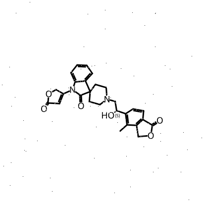 Cc1c([C@H](O)CN2CCC3(CC2)C(=O)N(C2=CC(=O)OC2)c2ccccc23)ccc2c1COC2=O